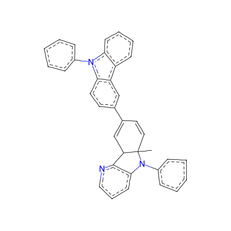 CC12C=CC(c3ccc4c(c3)c3ccccc3n4-c3ccccc3)=CC1c1ncccc1N2c1ccccc1